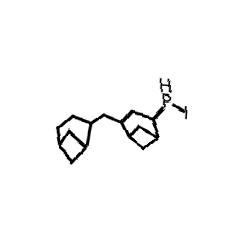 IPC1CC(CC2CCC3CC2C3)C2CC1C2